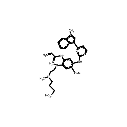 C=CC(=O)Nc1cc(Nc2nccc(-c3cn(C)c4ccccc34)n2)c(OC)cc1N(C)CCN(C)CCCC(=O)O